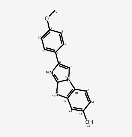 COc1ccc(-c2cn3c(n2)sc2cc(O)ccc23)cc1